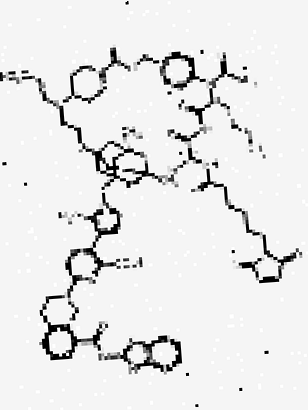 Cc1c(-c2ccc(N3CCc4cccc(C(=O)Nc5nc6ccccc6s5)c4C3)nc2C(=O)O)cnn1CC12CC3(C)CC(C)(C1)CC(OCCN(CCC(=O)O)C1CCN(C(=O)OCc4ccc(N(C(N)=O)[C@@H](CCCN)C(=O)NC(=O)[C@@H](NC(=O)CCCCCN5C(=O)C=CC5=O)C(C)C)cc4)CC1)(C3)C2